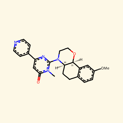 COc1ccc2c(c1)[C@@H]1OCCN(c3nc(-c4ccncc4)cc(=O)n3C)[C@@H]1CC2